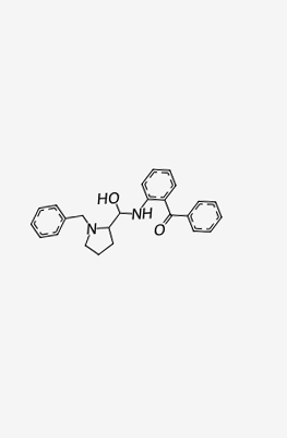 O=C(c1ccccc1)c1ccccc1NC(O)C1CCCN1Cc1ccccc1